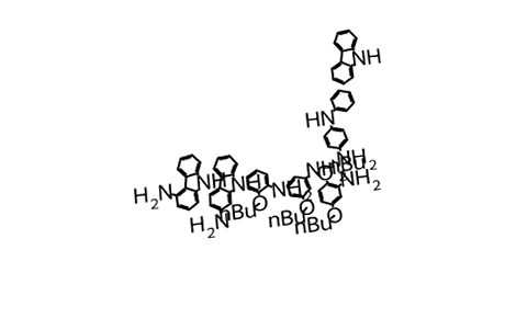 CCCCOc1ccc(OCCCC)c(N)c1.CCCCOc1cccc(N)c1.CCCCOc1ccccc1N.Nc1ccc(Nc2ccccc2)cc1.Nc1ccc2c(c1)[nH]c1ccccc12.Nc1cccc2[nH]c3ccccc3c12.c1ccc2c(c1)[nH]c1ccccc12